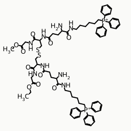 CCOC(=O)CNC(=O)C(CSSCC(NC(=O)CCC(N)C(=O)NCCCCCC[P+](c1ccccc1)(c1ccccc1)c1ccccc1)C(=O)NCC(=O)OC)NC(=O)CCC(N)C(=O)NCCCCCC[P+](c1ccccc1)(c1ccccc1)c1ccccc1